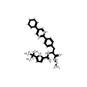 CSNC(=O)C(Cc1ccc(-c2ncc(C3=CCCCC3)cn2)cc1)NC(=O)c1ccc(C(C)(C)C)s1